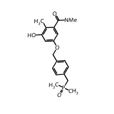 CNC(=O)c1cc(OCc2ccc(CP(C)(C)=O)cc2)cc(O)c1C